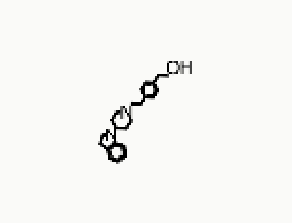 OCCc1ccc(C=CN2CCC(N3CCc4ccccc43)CC2)cc1